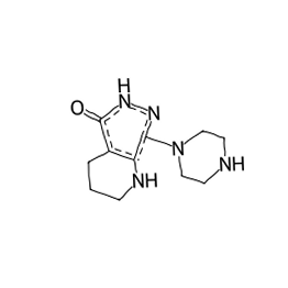 O=c1[nH]nc(N2CCNCC2)c2c1CCCN2